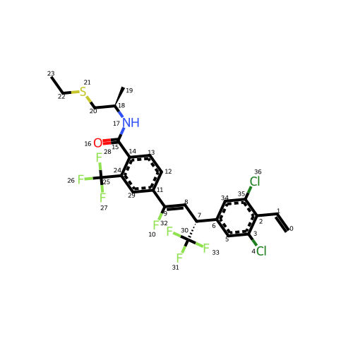 C=Cc1c(Cl)cc([C@@H](/C=C(\F)c2ccc(C(=O)N[C@H](C)CSCC)c(C(F)(F)F)c2)C(F)(F)F)cc1Cl